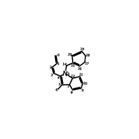 C=C/C=C\C1=C(C)C2C=CC=CC2N1CC1=CCCC=C1